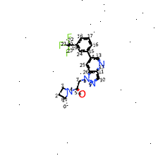 C[C@@H]1CCN1C(=O)Cn1ncc2ncc(-c3cccc(C(F)(F)F)c3)cc21